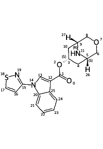 O=C(O[C@H]1C[C@H]2COC[C@@H](C1)N2)c1cn(-c2ccsn2)c2ccccc12